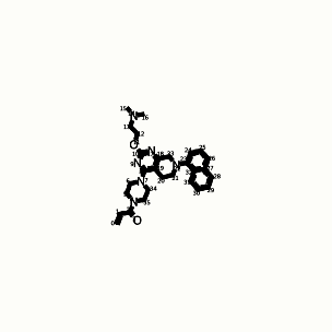 C=CC(=O)N1CCN(c2nc(OCCN(C)C)nc3c2CCN(c2cccc4ccccc24)C3)CC1